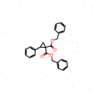 O=C(OCc1ccccc1)C1(C(=O)OCc2ccccc2)CC1c1ccccc1